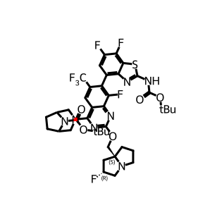 CC(C)(C)OC(=O)Nc1nc2c(-c3c(C(F)(F)F)cc4c(N5CC6CCC(C5)N6C(=O)OC(C)(C)C)nc(OC[C@@]56CCCN5C[C@H](F)C6)nc4c3F)cc(F)c(F)c2s1